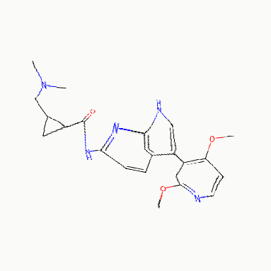 COc1ccnc(OC)c1-c1c[nH]c2nc(NC(=O)C3CC3CN(C)C)ccc12